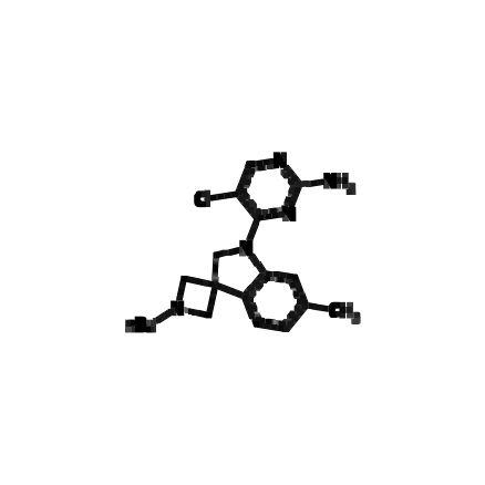 CCCCN1CC2(C1)CN(c1nc(N)ncc1Cl)c1cc(C)ccc12